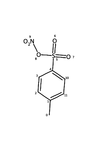 Cc1ccc(S(=O)(=O)O[N+](=O)[O-])cc1